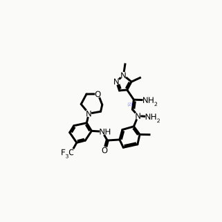 Cc1ccc(C(=O)Nc2cc(C(F)(F)F)ccc2N2CCOCC2)cc1N(N)/C=C(\N)c1cnn(C)c1C